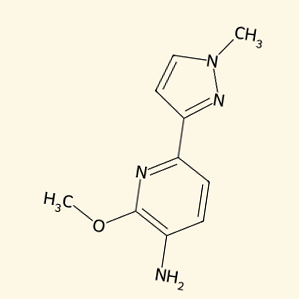 COc1nc(-c2ccn(C)n2)ccc1N